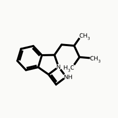 CC(C)C(C)CC1c2ccccc2-c2c[nH]n21